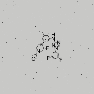 Cc1cc(Nc2ncn(-c3cc(F)cc(F)c3)n2)cc([C@@H]2CCN(C3COC3)CC2F)c1